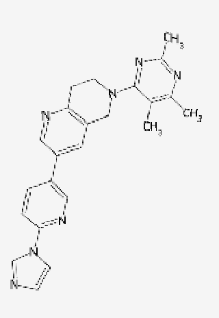 Cc1nc(C)c(C)c(N2CCc3ncc(-c4ccc(-n5ccnc5)nc4)cc3C2)n1